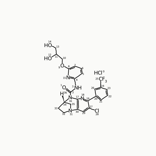 Cl.O=C(Nc1cccc(OCC(O)CO)n1)N1c2nc(-c3cccc(C(F)(F)F)c3)c(Cl)cc2N2CC[C@H]1C2